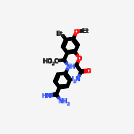 CCOc1cc(OCC(N)=O)c(C(Nc2ccc(C(=N)N)cc2)C(=O)O)cc1CC